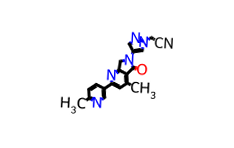 Cc1ccc(-c2cc(C)c3c(n2)CN(c2cnn(CC#N)c2)C3=O)cn1